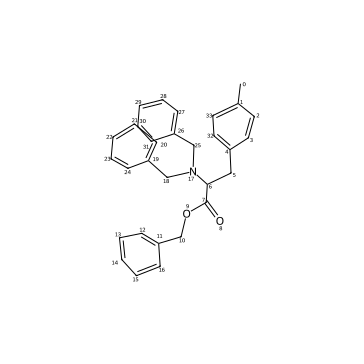 Cc1ccc(CC(C(=O)OCc2ccccc2)N(Cc2ccccc2)Cc2ccccc2)cc1